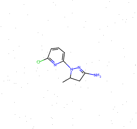 CC1CC(N)=NN1c1cccc(Cl)n1